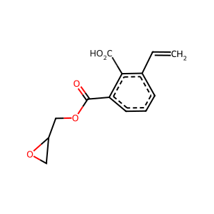 C=Cc1cccc(C(=O)OCC2CO2)c1C(=O)O